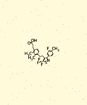 Cc1ccc(-c2nsc(C(F)(F)F)c2CCc2ccc(CCC(=O)O)c(C)c2C)cc1F